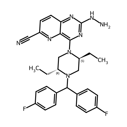 CC[C@H]1CN(C(c2ccc(F)cc2)c2ccc(F)cc2)[C@H](CC)CN1c1nc(NN)nc2ccc(C#N)nc12